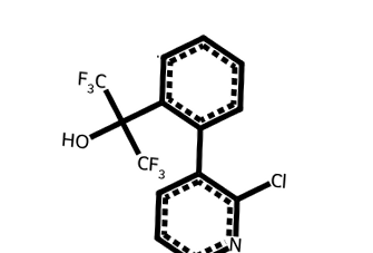 OC(c1[c]cccc1-c1cccnc1Cl)(C(F)(F)F)C(F)(F)F